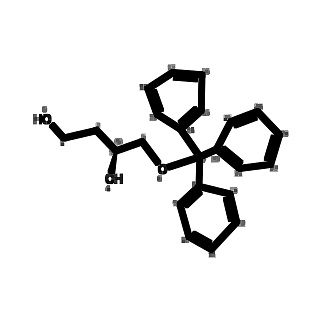 OCC[C@H](O)COC(c1ccccc1)(c1ccccc1)c1ccccc1